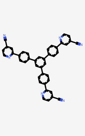 N#Cc1ccnc(-c2ccc(-c3cc(-c4ccc(-c5cc(C#N)ccn5)cc4)cc(-c4ccc(-c5cc(C#N)ccn5)cc4)c3)cc2)c1